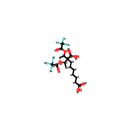 CC(OC(=O)C(F)(F)F)C(CCCCCCC(=O)O)(C(=O)O)C(C)OC(=O)C(F)(F)F